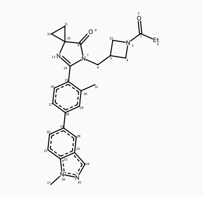 CCC(=O)N1CC(CN2C(=O)C3(CC3)N=C2c2ccc(-c3ccc4c(cnn4C)c3)cc2C)C1